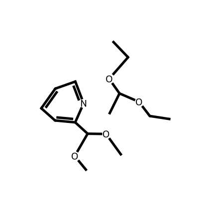 CCOC(C)OCC.COC(OC)c1ccccn1